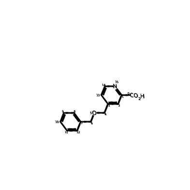 O=C(O)c1cc(COCc2ccccc2)ccn1